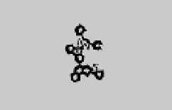 c1ccc(-c2cc(-c3ccccc3)nc(-n3c4ccccc4c4cc(-c5cc6ccccc6c6cc7c(cc56)sc5ccccc57)ccc43)n2)cc1